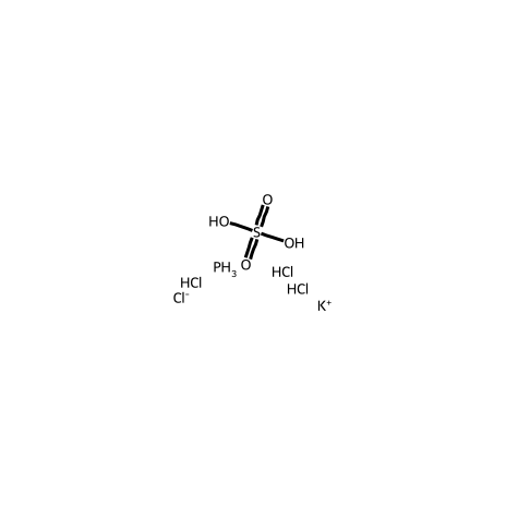 Cl.Cl.Cl.O=S(=O)(O)O.P.[Cl-].[K+]